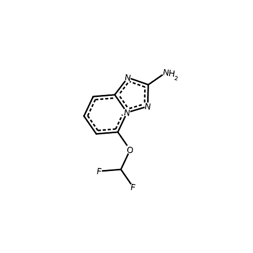 Nc1nc2cccc(OC(F)F)n2n1